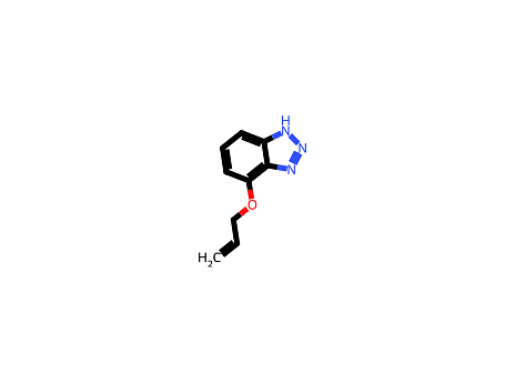 C=CCOc1cccc2[nH]nnc12